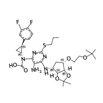 CCCSc1nc(N[C@@H]2C[C@H](OCCOC(C)(C)C)[C@H]3OC(C)(C)O[C@H]32)c(N)c(N(C(=O)O)[C@@H]2C[C@H]2c2ccc(F)c(F)c2)n1